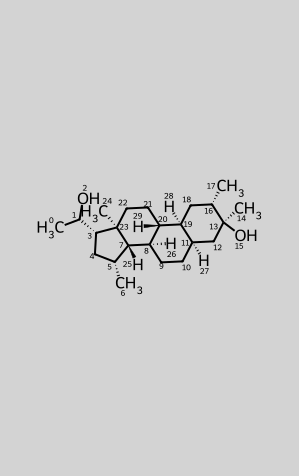 CC(O)[C@H]1C[C@@H](C)[C@H]2[C@@H]3CC[C@@H]4C[C@](C)(O)[C@@H](C)C[C@@H]4[C@H]3CC[C@@]21C